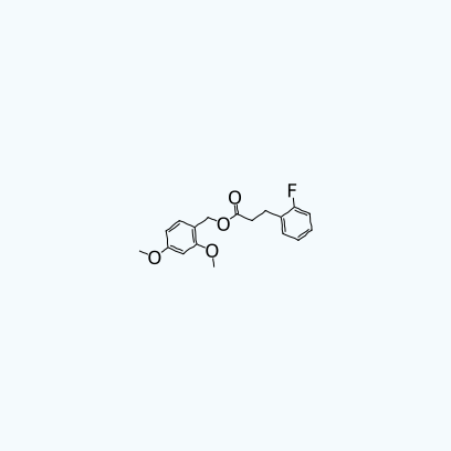 COc1ccc(COC(=O)CCc2ccccc2F)c(OC)c1